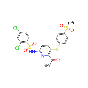 CCCC(=O)c1nc(NS(=O)(=O)c2ccc(Cl)cc2Cl)ccc1Sc1ccc(S(=O)(=O)CCC)cc1